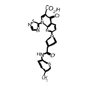 Cc1ccc(NC(=O)C2CN(c3ccc4c(=O)c(C(=O)O)cn(-c5ncns5)c4n3)C2)nc1